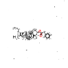 CC(C)CCC[C@@H](C)[C@H]1CC[C@H]2[C@@H]3CC=C4CC(OC(=O)Cc5ccccc5)CC[C@]4(C)[C@H]3CC[C@]12C